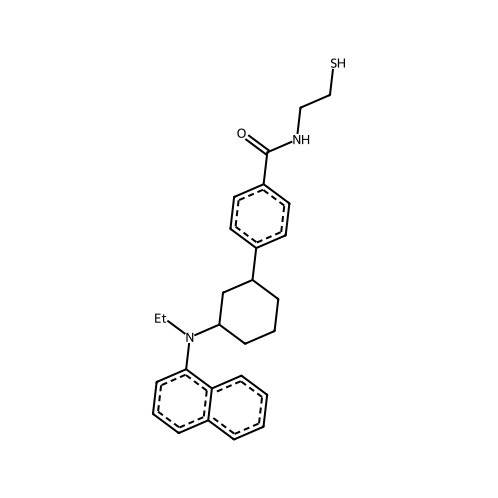 CCN(c1cccc2ccccc12)C1CCCC(c2ccc(C(=O)NCCS)cc2)C1